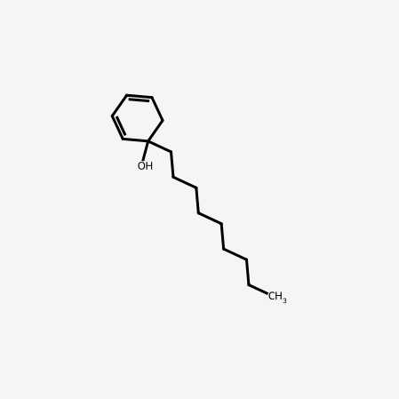 CCCCCCCCCC1(O)C=CC=CC1